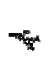 Cl.[N-]=[N+]=NC[C@H]1C[C@H](c2ccc(OC(F)F)c(OCC3CC3)c2)CN1